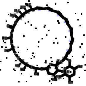 CC1OC(O[C@H]2/C=C/C=C/C=C/C=C/C=C/C=C/C=C/[C@H](C)[C@@H](O)[C@@H](C)[C@H](C)OC(=O)C[C@H](O)C[C@H](O)CC[C@@H](O)[C@H](O)C[C@H](O)C[C@]3(O)C[C@H](O)C(C(=O)O)[C@H](C2)O3)C(O)CC1O